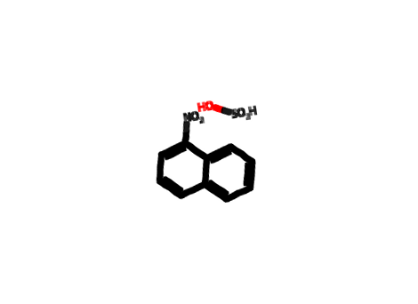 O=S(=O)(O)O.O=[N+]([O-])c1cccc2ccccc12